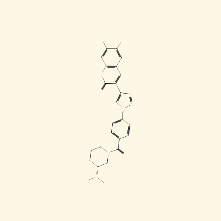 CN(C)[C@H]1CCCN(C(=O)c2ccc(-n3cc(-c4cc5cc(F)c(F)cc5[nH]c4=O)nn3)cc2)C1